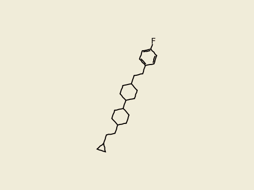 Fc1ccc(CCC2CCC(C3CCC(CCC4CC4)CC3)CC2)cc1